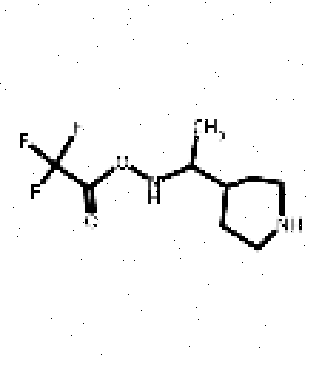 CC(NOC(=O)C(F)(F)F)C1CCNCC1